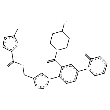 O=C(NCc1cn(-c2ccc(-n3ccccc3=O)cc2C(=O)N2CCC(O)CC2)nn1)c1ccc(Cl)s1